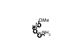 COCc1cccc(-n2ncc3ccc(-c4cccc(C(C)N)n4)cc32)n1